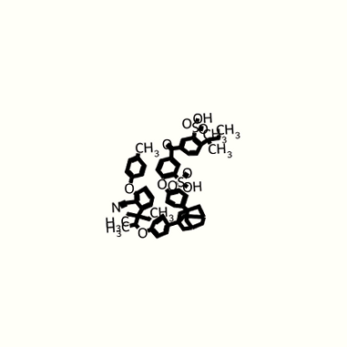 CCC(C)(C)c1ccc(C(=O)c2ccc(Oc3ccc(C45CC6CC(C4)CC(c4ccc(OC(C)C(CC)(CC)c7cccc(Oc8ccc(C)cc8)c7C#N)cc4)(C6)C5)cc3)c(S(=O)(=O)O)c2)cc1S(=O)(=O)O